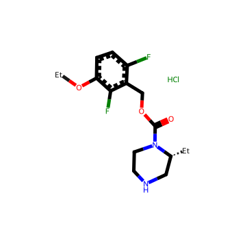 CCOc1ccc(F)c(COC(=O)N2CCNC[C@H]2CC)c1F.Cl